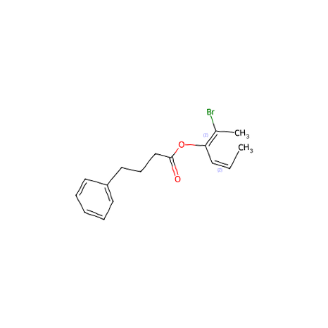 C/C=C\C(OC(=O)CCCc1ccccc1)=C(/C)Br